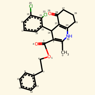 CC1=C(C(=O)OCCc2ccccc2)C(c2cccc(Cl)c2Cl)C2=C(CCCC2=O)N1